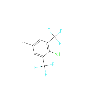 [CH2]c1cc(C(F)(F)F)c(Cl)c(C(F)(F)F)c1